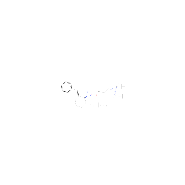 CCCCCC[C@@H]1CCCC(=C\c2ccccc2)/C1=N/OCCCN(C)C